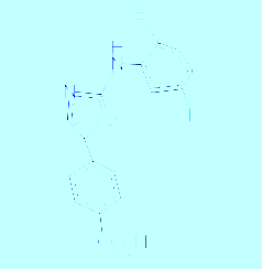 O=C(O)c1ccc(-c2cnc(Nc3cc(F)ccc3F)o2)cc1